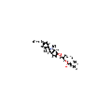 C=C(C)C(=O)OCC(COc1ccc2cc(-c3ccc(CCCCC)cc3CC)n(CC)c2c1)CC(F)(F)F